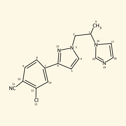 CC(Cn1ccc(-c2ccc(C#N)c(Cl)c2)n1)n1ccnc1